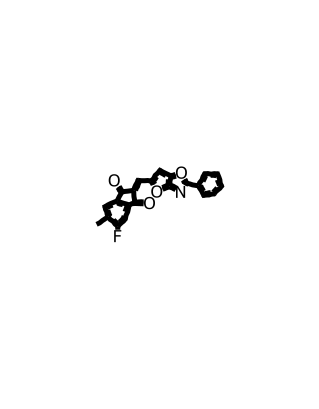 Cc1cc2c(cc1F)C(=O)/C(=C\c1cc3oc(-c4ccccc4)nc3o1)C2=O